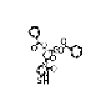 O=C(OC[C@H]1O[C@@H](n2ccc(=S)[nH]c2=O)C[C@@H]1OC(=O)c1ccccc1)c1ccccc1